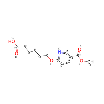 COC(=O)c1ccc(OCCCCCC(=O)O)nc1